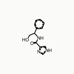 O=C(NC(CO)c1ccccc1)c1c[nH]cn1